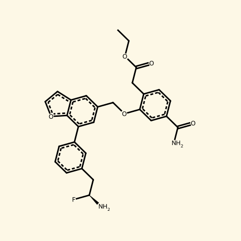 CCOC(=O)Cc1ccc(C(N)=O)cc1OCc1cc(-c2cccc(C[C@@H](N)F)c2)c2occc2c1